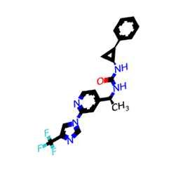 C[C@H](NC(=O)N[C@@H]1C[C@H]1c1ccccc1)c1ccnc(-n2cnc(C(F)(F)F)c2)c1